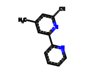 Cc1cc(C#N)nc(-c2ccccn2)c1